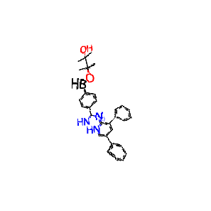 CC(C)(O)C(C)(C)OBc1ccc(C(=N)/N=c2\[nH]cc(-c3ccccc3)cc2-c2ccccc2)cc1